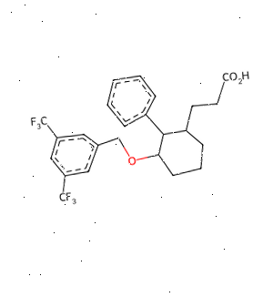 O=C(O)CCC1CCCC(OCc2cc(C(F)(F)F)cc(C(F)(F)F)c2)C1c1ccccc1